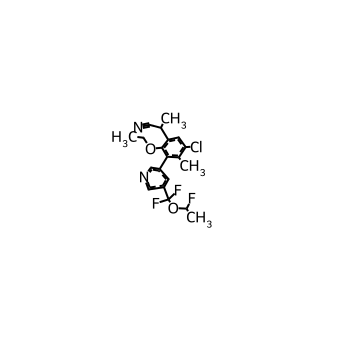 CCOc1c(C(C)C#N)cc(Cl)c(C)c1-c1cncc(C(F)(F)OC(C)F)c1